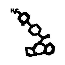 Cc1ccc(N2CCC(C(=O)N3C=C4CC=CN4Cc4ccccc43)CC2)nc1